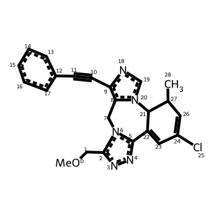 COCc1nnc2n1Cc1c(C#Cc3ccccc3)ncn1C1C2=CC(Cl)=CC1C